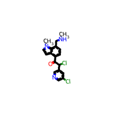 CNCc1ccc(C(=O)C(Cl)c2cncc(Cl)c2)c2ccn(C)c12